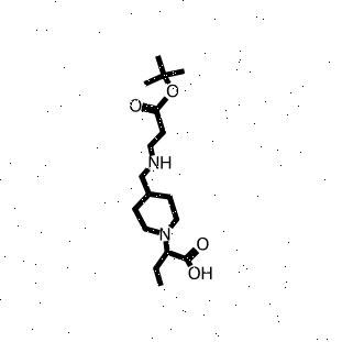 CCC(C(=O)O)N1CCC(CNCCC(=O)OC(C)(C)C)CC1